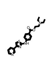 CCN(CC)CCOC(=O)c1ccc(Nc2nc(-c3cccnc3)cs2)cc1